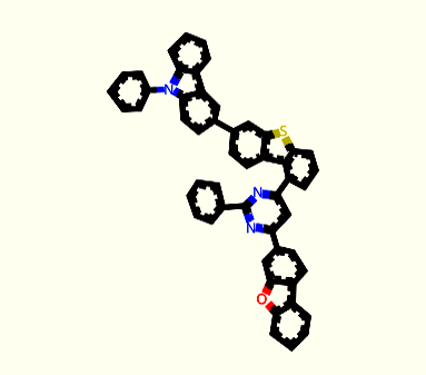 c1ccc(-c2nc(-c3ccc4c(c3)oc3ccccc34)cc(-c3cccc4sc5cc(-c6ccc7c(c6)c6ccccc6n7-c6ccccc6)ccc5c34)n2)cc1